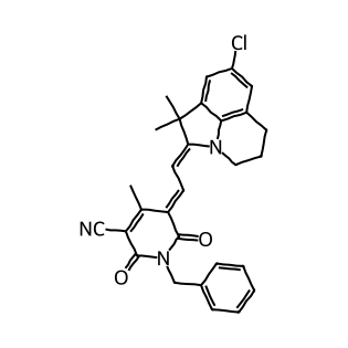 CC1=C(C#N)C(=O)N(Cc2ccccc2)C(=O)/C1=C/C=C1\N2CCCc3cc(Cl)cc(c32)C1(C)C